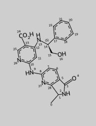 CC1NC(=O)c2ccc(Nc3cc(N[C@H](CO)c4ccccc4)c(C(=O)O)cn3)nc21